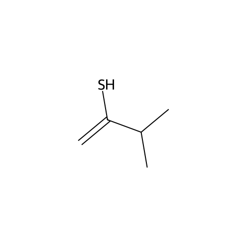 C=C(S)C(C)C